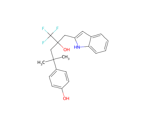 CC(C)(CC(O)(Cc1cc2ccccc2[nH]1)C(F)(F)F)c1ccc(O)cc1